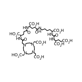 O=C(O)CCC(NC(=O)NC(CCCCNC(=O)CCC(NC(=O)CCC(NC(=O)CN1CCN(CC(=O)O)CCN(CC(=O)O)CCN(CC(=O)O)CC1)C(=O)O)C(=O)O)C(=O)O)C(=O)O